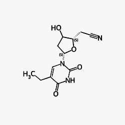 CCc1cn([C@@H]2CC(O)[C@H](CC#N)O2)c(=O)[nH]c1=O